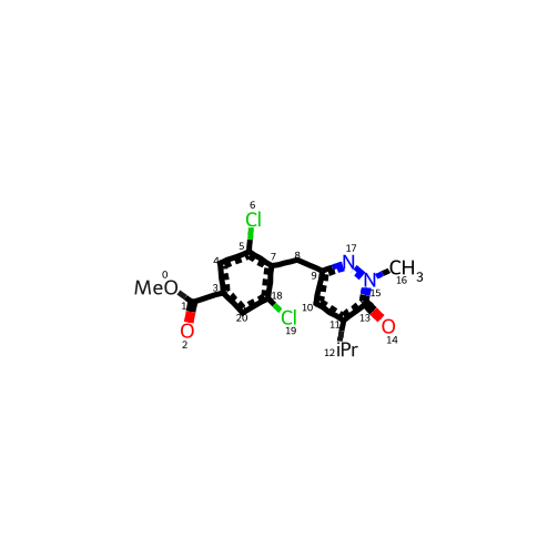 COC(=O)c1cc(Cl)c(Cc2cc(C(C)C)c(=O)n(C)n2)c(Cl)c1